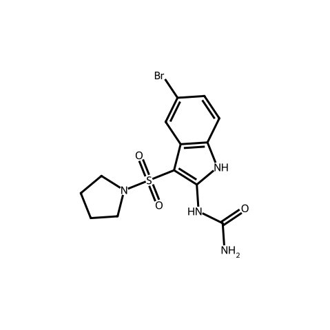 NC(=O)Nc1[nH]c2ccc(Br)cc2c1S(=O)(=O)N1CCCC1